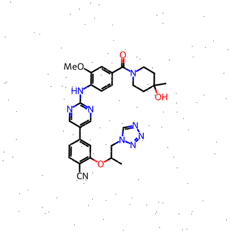 COc1cc(C(=O)N2CCC(C)(O)CC2)ccc1Nc1ncc(-c2ccc(C#N)c(OC(C)Cn3cnnn3)c2)cn1